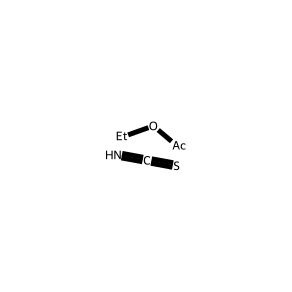 CCOC(C)=O.N=C=S